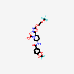 O=C(N[C@H]1CC[C@H](c2nnc(OCCOC(F)(F)F)o2)N(C(=O)O)C1)c1ccc2c(c1)OC(F)(F)O2